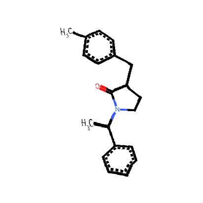 Cc1ccc(CC2CCN(C(C)c3ccccc3)C2=O)cc1